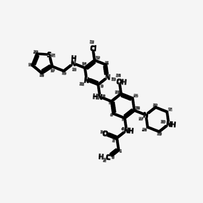 C=CC(=O)Nc1cc(Nc2ncc(Cl)c(NCc3cccs3)n2)c(O)cc1N1CCNCC1